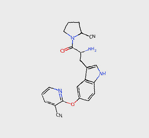 N#Cc1cccnc1Oc1ccc2[nH]cc(CC(N)C(=O)N3CCCC3C#N)c2c1